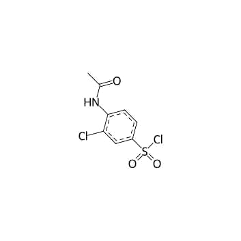 CC(=O)Nc1ccc(S(=O)(=O)Cl)cc1Cl